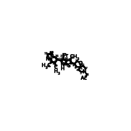 CC(=O)CN1CCC2(CC1)CC(c1sc3[nH]c(-c4cn5ncnc5c(C)c4C)c(C(C)C)c3c1C)CO2